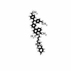 C=C1c2cccc3c(-c4ccc(C=C(c5ccc(CC)cc5)c5ccc(CC)cc5)cc4)ccc(c23)C(=C)N1CCCCn1c[n+](CC2=C(F)CC(F)C=C2)cn1